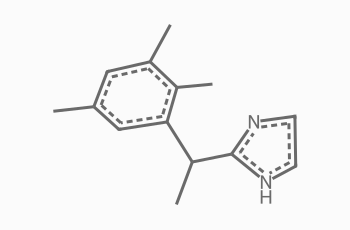 Cc1cc(C)c(C)c(C(C)c2ncc[nH]2)c1